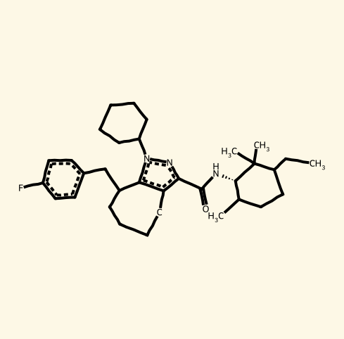 CCC1CCC(C)[C@H](NC(=O)c2nn(C3CCCCC3)c3c2CCCCC3Cc2ccc(F)cc2)C1(C)C